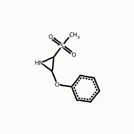 CS(=O)(=O)C1NC1Oc1ccccc1